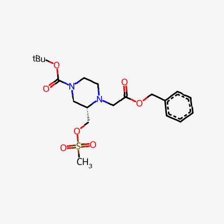 CC(C)(C)OC(=O)N1CCN(CC(=O)OCc2ccccc2)[C@H](COS(C)(=O)=O)C1